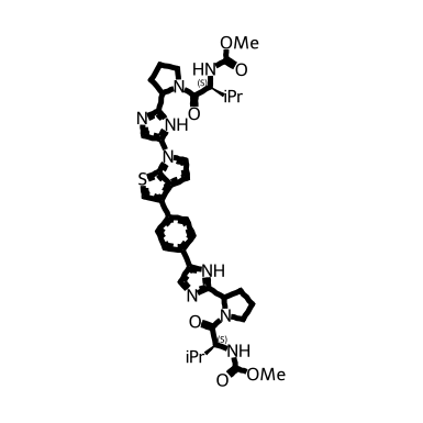 COC(=O)N[C@H](C(=O)N1CCCC1c1ncc(-c2ccc(-c3csc4c3ccn4-c3cnc(C4CCCN4C(=O)[C@@H](NC(=O)OC)C(C)C)[nH]3)cc2)[nH]1)C(C)C